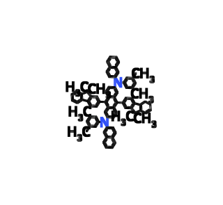 Cc1cc(C)cc(N(c2ccc3ccccc3c2)c2ccc3c(-c4ccc5c(c4)C(C)(C)c4ccccc4-5)c4cc(N(c5cc(C)cc(C)c5)c5ccc6ccccc6c5)ccc4c(-c4ccc5c(c4)C(C)(C)C4=C5CCC=C4)c3c2)c1